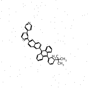 CC(C)(C)C1C=CC=C(c2c3ccccc3c(-c3ccc4cc(-c5cc(-c6ccncc6)ccn5)ccc4c3)c3ccccc23)C1